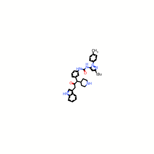 Cc1ccc(-n2nc(C(C)(C)C)cc2NC(=O)Nc2cccc(C(C(=O)Cc3c[nH]c4ccccc34)C3CCNCC3)c2)cc1